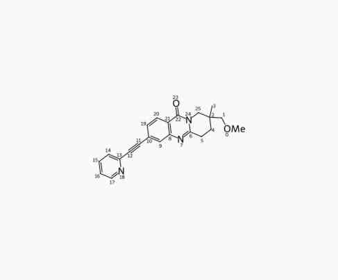 COCC1(C)CCc2nc3cc(C#Cc4ccccn4)ccc3c(=O)n2C1